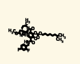 COC1=NO[C@@]2(CC[C@H](C)N3C[C@H]2n2cc(C(=O)NCc4ccc(F)cc4F)c(=O)c(OC(=O)OCCCCCCC(C)C)c2C3=O)C1